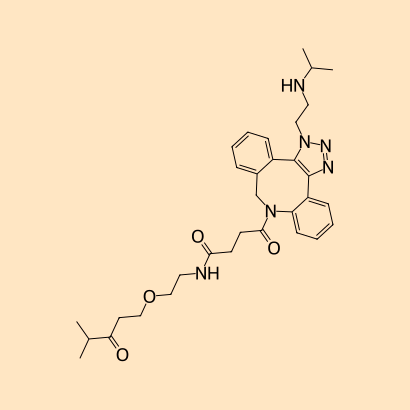 CC(C)NCCn1nnc2c1-c1ccccc1CN(C(=O)CCC(=O)NCCOCCC(=O)C(C)C)c1ccccc1-2